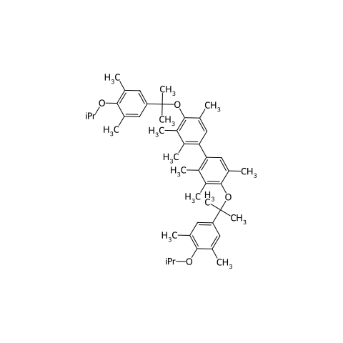 Cc1cc(C(C)(C)Oc2c(C)cc(-c3cc(C)c(OC(C)(C)c4cc(C)c(OC(C)C)c(C)c4)c(C)c3C)c(C)c2C)cc(C)c1OC(C)C